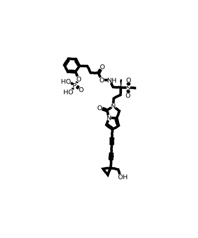 C[C@@](CCN1Cc2cc(C#CC#CC3(CO)CC3)cn2C1=O)(CNOC(=O)CCc1ccccc1OP(=O)(O)O)S(C)(=O)=O